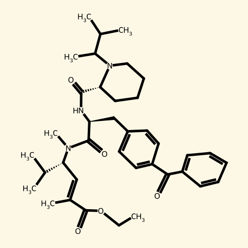 CCOC(=O)/C(C)=C/[C@H](C(C)C)N(C)C(=O)[C@H](Cc1ccc(C(=O)c2ccccc2)cc1)NC(=O)[C@H]1CCCCN1C(C)C(C)C